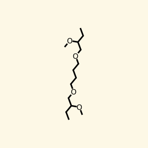 CCC(COCCCCOCC(CC)OC)OC